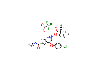 CNC(=O)c1cc2c(Oc3ccc(Cl)cc3)c[n+](COC(=O)C(C)(C)C)cc2s1.O=C([O-])C(F)(F)F